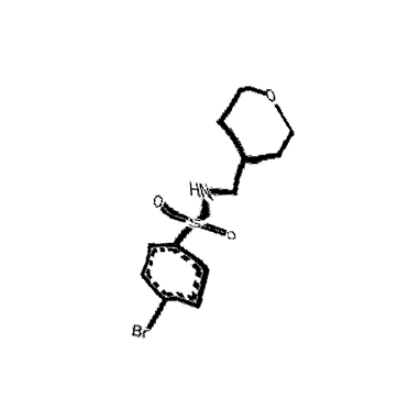 O=S(=O)(NCC1CCOCC1)c1ccc(Br)cc1